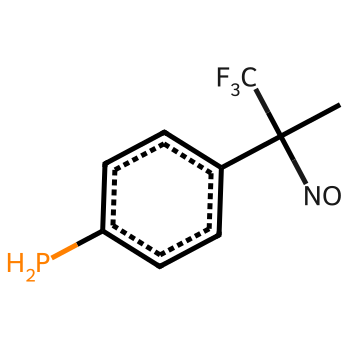 CC(N=O)(c1ccc(P)cc1)C(F)(F)F